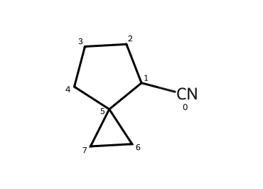 N#CC1CCCC12CC2